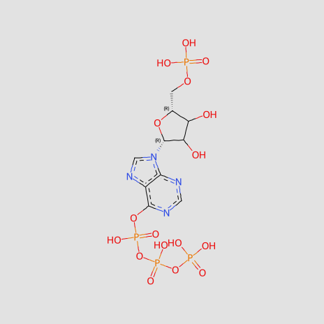 O=P(O)(O)OC[C@H]1O[C@@H](n2cnc3c(OP(=O)(O)OP(=O)(O)OP(=O)(O)O)ncnc32)C(O)C1O